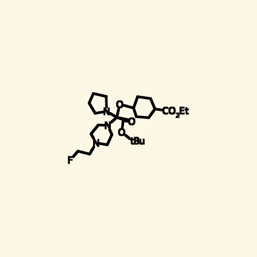 CCOC(=O)C1CCC(OC(C(=O)OC(C)(C)C)(N2CCCC2)N2CCN(CCF)CC2)CC1